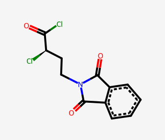 O=C(Cl)[C@H](Cl)CCN1C(=O)c2ccccc2C1=O